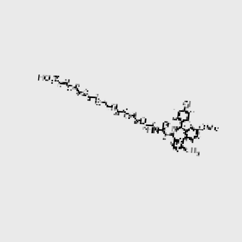 COc1ccc2c(c1)C(c1ccc(Cl)cc1)=N[C@@H](CC(=O)NCCOCCOCCOCCOCCOCCOCCC(=O)O)c1nnc(C)n1-2